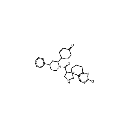 O=C1CCC(C2CC(c3ccccc3)CCN2C(=O)C2CNC[C@]23CCCc2nc(Cl)ccc23)CC1